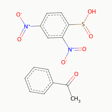 CC(=O)c1ccccc1.O=[N+]([O-])c1ccc(S(=O)O)c([N+](=O)[O-])c1